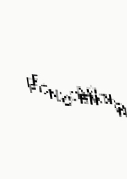 O=C(NC1CCN(Cc2ccncc2)CC1)c1nc2ccc(OC3CCN(c4ccc(C(F)(F)F)cc4)CC3)cc2s1